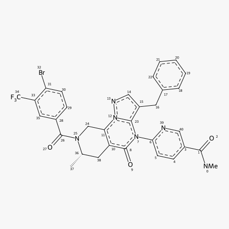 CNC(=O)c1ccc(-n2c(=O)c3c(n4ncc(Cc5ccccc5)c24)CN(C(=O)c2ccc(Br)c(C(F)(F)F)c2)[C@@H](C)C3)nc1